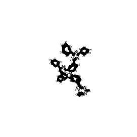 Cc1nc(C)nc(-c2ccc3c(c2)c2ccccc2n3-c2ccc(-c3nc(-c4ccccc4)nc(-c4ccccc4)n3)cc2-c2nc(-c3ccccc3)cc(-c3ccccc3)n2)n1